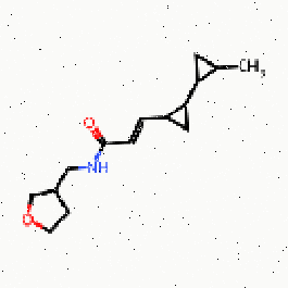 CC1CC1C1CC1/C=C/C(=O)NCC1CCOC1